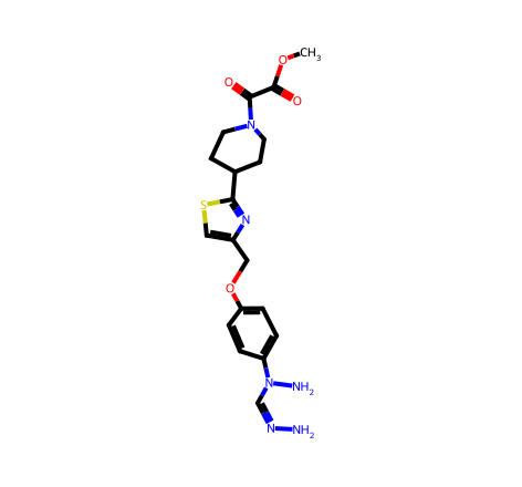 COC(=O)C(=O)N1CCC(c2nc(COc3ccc(N(N)/C=N\N)cc3)cs2)CC1